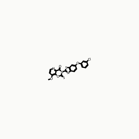 COc1ccnc2c(=O)n(-c3nc4ccc(Oc5cccc(Cl)c5)cc4s3)c(=S)oc12